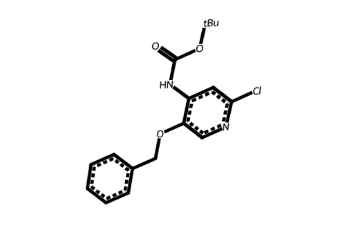 CC(C)(C)OC(=O)Nc1cc(Cl)ncc1OCc1ccccc1